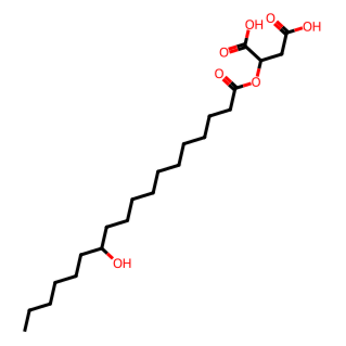 CCCCCCC(O)CCCCCCCCCCC(=O)OC(CC(=O)O)C(=O)O